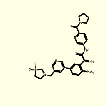 N=C(C(=O)Nc1ccc(C(=O)N2CCCC2)nc1)c1cc(-c2cncc(CN3CCC(F)(F)C3)c2)ccc1N